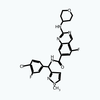 Cn1ccc(C(NC(=O)c2cc(F)c3cnc(NC4CCOCC4)nc3c2)c2ccc(Cl)c(F)c2)n1